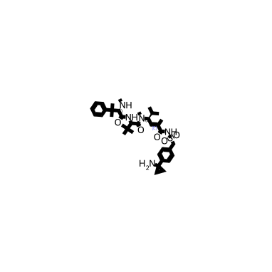 CN[C@H](C(=O)NC(C(=O)N(C)[C@H](/C=C(\C)C(=O)NS(=O)(=O)Cc1ccc(C2(N)CC2)cc1)C(C)C)C(C)(C)C)C(C)(C)c1ccccc1